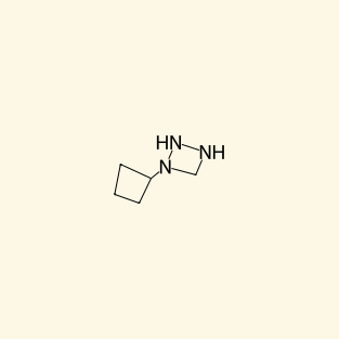 C1CC(N2CNN2)C1